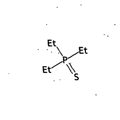 CCP(=S)(CC)CC